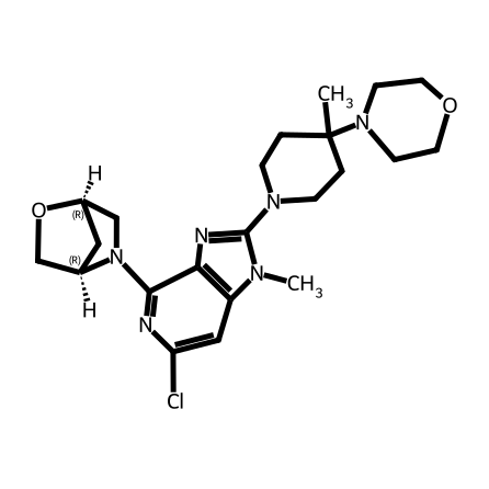 Cn1c(N2CCC(C)(N3CCOCC3)CC2)nc2c(N3C[C@H]4C[C@@H]3CO4)nc(Cl)cc21